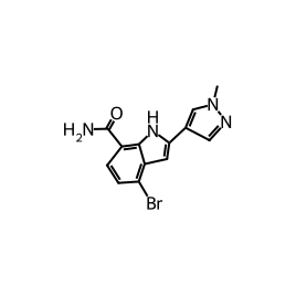 Cn1cc(-c2cc3c(Br)ccc(C(N)=O)c3[nH]2)cn1